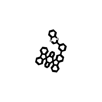 c1cc(-c2ccc3c(c2)C2(c4ccccc4-3)c3ccccc3C3(c4ccccc4-c4ccccc43)c3ccccc32)cc(-c2cnc3ccccc3n2)c1